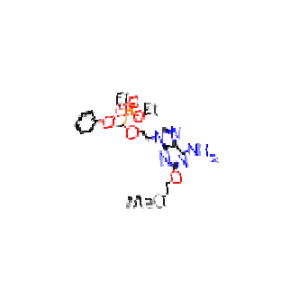 CCOP(=O)(OCC)C(COc1ccccc1)OCCn1cnc2c(N)nc(OCCOC)nc21